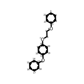 c1ccc(OCCOc2ccc(Oc3ccccc3)cc2)cc1